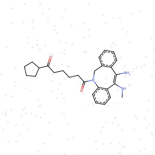 CN/C1=C(\N)c2ccccc2CN(C(=O)CCCCC(=O)C2CCCC2)c2ccccc21